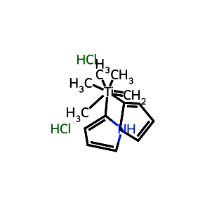 Cl.Cl.[CH2]=[Ti]([CH3])([CH3])([CH3])([CH3])([C]1=CC=CC1)[c]1ccc[nH]1